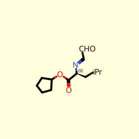 CC(C)C[C@H](N=CC=O)C(=O)OC1CCCC1